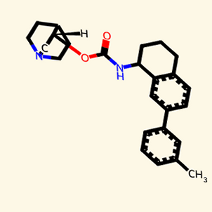 Cc1cccc(-c2ccc3c(c2)C(NC(=O)O[C@@H]2CN4CCC2CC4)CCC3)c1